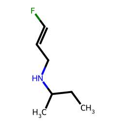 CCC(C)NC/C=C/F